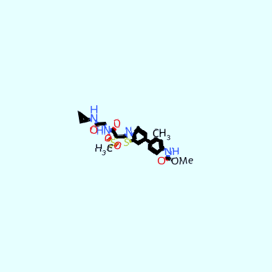 COC(=O)Nc1ccc(-c2ccc3nc(C(C(=O)NCC(=O)NC4CC4)S(C)(=O)=O)sc3c2)c(C)c1